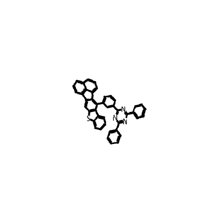 c1ccc(-c2nc(-c3ccccc3)nc(-c3cccc(-c4c5c(cc6sc7ccccc7c46)-c4cccc6cccc-5c46)c3)n2)cc1